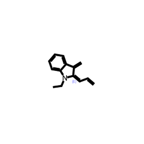 C=C/C=c1\c(=C)c2ccccc2n1CC